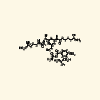 CC(C)C(N)C(=O)O.NC(=O)CCCCC(=O)Nc1cc(CBr)nc(CBr)c1.NC(=O)NCCCC(N)C(=O)O.NC(=O)OC(=O)c1ccc(N)cc1